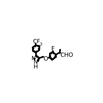 CC(C=O)c1ccc(OCc2c[nH]nc2-c2ccc(C(F)(F)F)cc2)cc1F